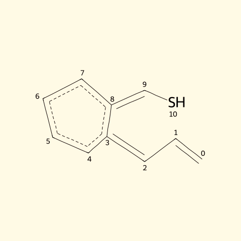 C=C/C=c1/cccc/c1=C/S